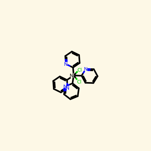 [Cl][Ni]([Cl])([c]1ccccn1)([c]1ccccn1)([c]1ccccn1)[c]1ccccn1